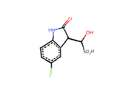 O=C1Nc2ccc(F)cc2C1C(O)S(=O)(=O)O